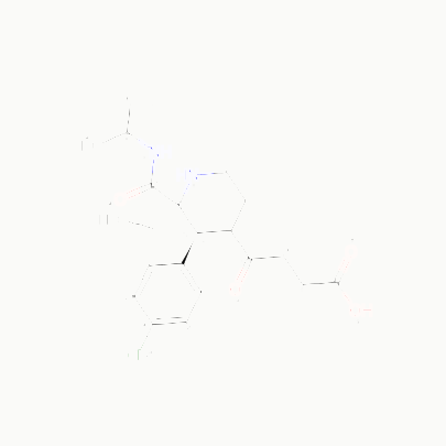 CC[C@]1(C(=O)NC(C)C)NCCC(C(=O)CCC(=O)O)[C@H]1c1ccc(Cl)cc1